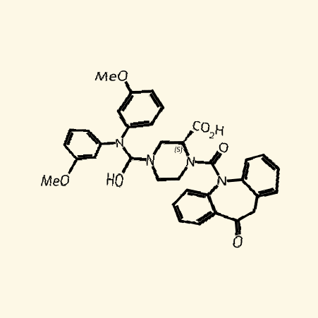 COc1cccc(N(c2cccc(OC)c2)C(O)N2CCN(C(=O)N3c4ccccc4CC(=O)c4ccccc43)[C@H](C(=O)O)C2)c1